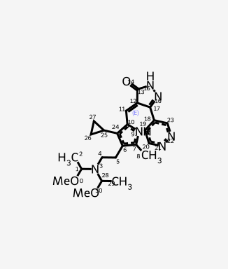 COC(C)N(CCc1c(C)[nH]c(/C=C2/C(=O)NN=C2c2ccnnc2)c1C1CC1)C(C)OC